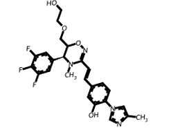 Cc1cn(-c2ccc(/C=C/C3=NOC(COCCO)[C@H](c4cc(F)c(F)c(F)c4)N3C)cc2O)cn1